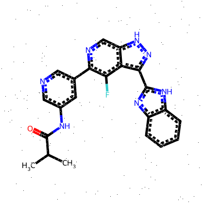 CC(C)C(=O)Nc1cncc(-c2ncc3[nH]nc(-c4nc5ccccc5[nH]4)c3c2F)c1